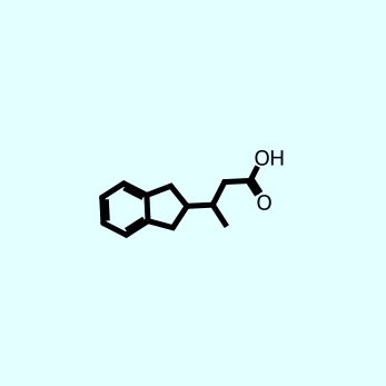 CC(CC(=O)O)C1Cc2ccccc2C1